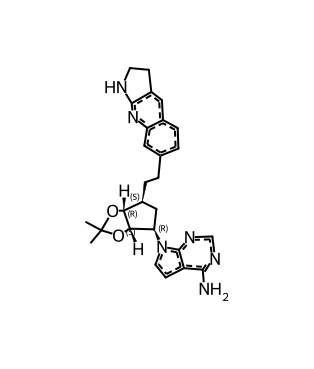 CC1(C)O[C@@H]2[C@@H](CCc3ccc4cc5c(nc4c3)NCC5)C[C@@H](n3ccc4c(N)ncnc43)[C@@H]2O1